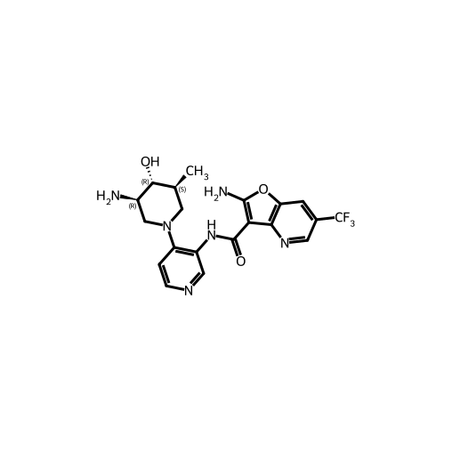 C[C@H]1CN(c2ccncc2NC(=O)c2c(N)oc3cc(C(F)(F)F)cnc23)C[C@@H](N)[C@@H]1O